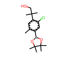 Cc1cc(C(C)(C)CO)c(Cl)cc1B1OC(C)(C)C(C)(C)O1